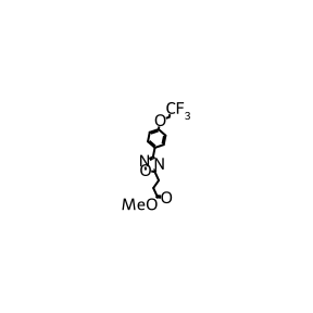 COC(=O)CCc1nc(-c2ccc(OCC(F)(F)F)cc2)no1